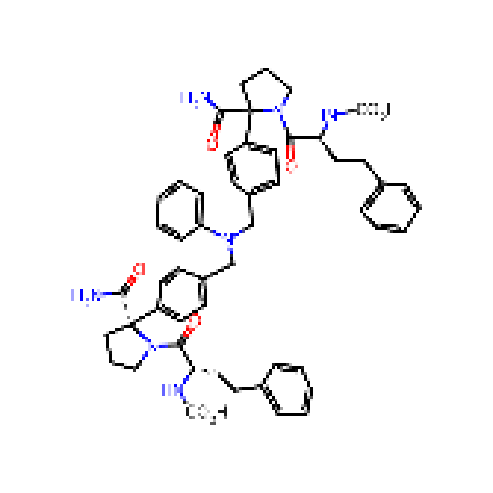 NC(=O)[C@@]1(c2ccc(CN(Cc3ccc([C@]4(C(N)=O)CCCN4C(=O)[C@H](CCc4ccccc4)NC(=O)O)cc3)c3ccccc3)cc2)CCCN1C(=O)[C@H](CCc1ccccc1)NC(=O)O